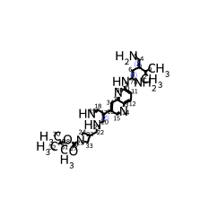 CC(C)C(=C/N)/C=C(\N)Nc1ccc2ncc(/C(C=N)=C/NCC3CN(C(=O)OC(C)(C)C)C3)cc2n1